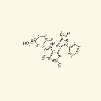 O=C(O)c1sc(-c2ccccc2)cc1N(CC1CCN(C(=O)O)CC1)C(=O)c1ccc(Cl)cc1Cl